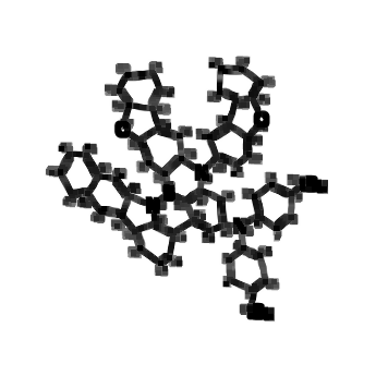 CC(C)(C)c1ccc(N(c2ccc(C(C)(C)C)cc2)c2cc3c4c(c2)N(c2ccc5oc6ccccc6c5c2)c2cc5c(cc2B4n2c4cc6ccccc6cc4c4cccc-3c42)oc2ccccc25)cc1